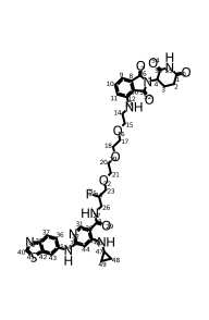 O=C1CCC(N2C(=O)c3cccc(NCCOCCOCCOCC(F)CNC(=O)c4cnc(Nc5ccc6ncsc6c5)cc4NC4CC4)c3C2=O)C(=O)N1